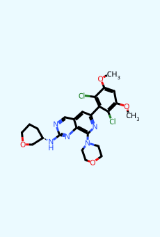 COc1cc(OC)c(Cl)c(-c2cc3cnc(N[C@H]4CCCOC4)nc3c(N3CCOCC3)n2)c1Cl